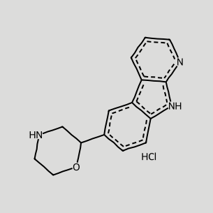 Cl.c1cnc2[nH]c3ccc(C4CNCCO4)cc3c2c1